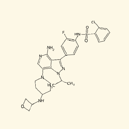 CC(C)n1nc(-c2ccc(NS(=O)(=O)c3ccccc3Cl)c(F)c2)c2c(N)ncc(N3CCC(NC4COC4)CC3)c21